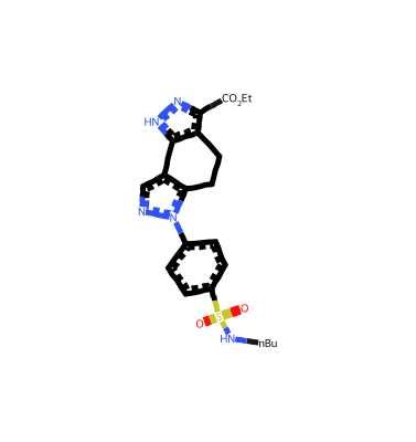 CCCCNS(=O)(=O)c1ccc(-n2ncc3c2CCc2c(C(=O)OCC)n[nH]c2-3)cc1